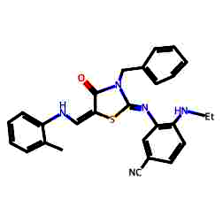 CCNc1ccc(C#N)cc1/N=C1\S/C(=C/Nc2ccccc2C)C(=O)N1Cc1ccccc1